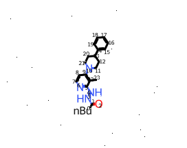 CCCCC(=O)NNc1nccc(N2CCC(c3ccccc3)CC2)c1C